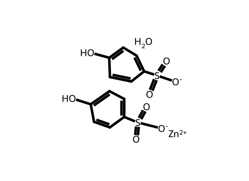 O.O=S(=O)([O-])c1ccc(O)cc1.O=S(=O)([O-])c1ccc(O)cc1.[Zn+2]